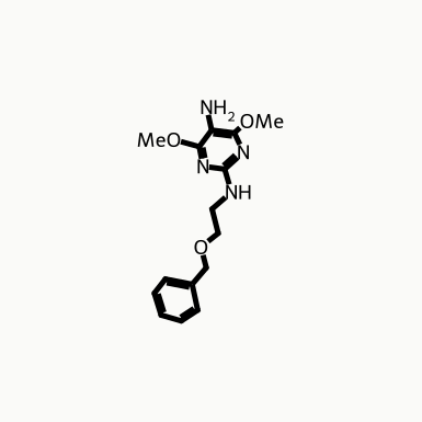 COc1nc(NCCOCc2ccccc2)nc(OC)c1N